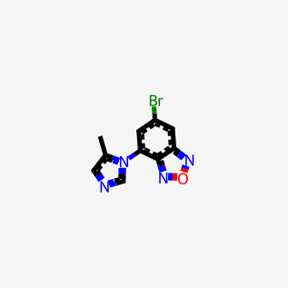 Cc1cncn1-c1cc(Br)cc2nonc12